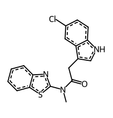 CN(C(=O)Cc1c[nH]c2ccc(Cl)cc12)c1nc2ccccc2s1